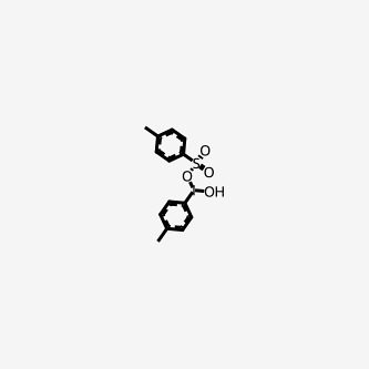 Cc1ccc(I(O)OS(=O)(=O)c2ccc(C)cc2)cc1